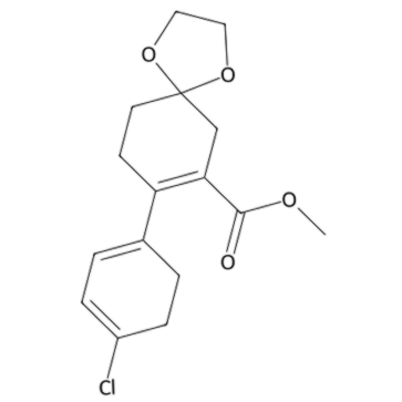 COC(=O)C1=C(C2=CC=C(Cl)CC2)CCC2(C1)OCCO2